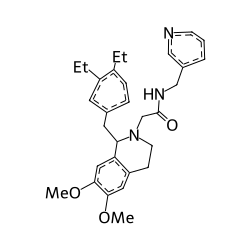 CCc1ccc(CC2c3cc(OC)c(OC)cc3CCN2CC(=O)NCc2cccnc2)cc1CC